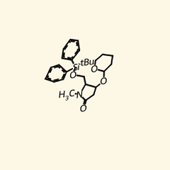 CN1C(=O)CC(OC2CCCCO2)C1CO[Si](c1ccccc1)(c1ccccc1)C(C)(C)C